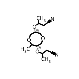 CC(CC#N)O[C@@H]1COC[C@H](OC(C)CC#N)C(C)OC1